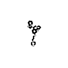 c1ccn2c([C@H]3CN4CCC[C@@H]4c4cc(OCCCN5CCOCC5)ccc43)cnc2c1